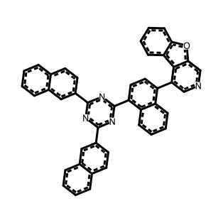 c1ccc2cc(-c3nc(-c4ccc5ccccc5c4)nc(-c4ccc(-c5cncc6oc7ccccc7c56)c5ccccc45)n3)ccc2c1